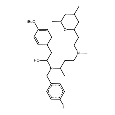 CC(C)COC1=CCC(CC(O)N(Cc2ccc(F)cc2)C(C)CCN(C)CCC2CC(C)CC(C)O2)C=C1